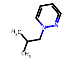 CC(C)CN1C=CC=C=N1